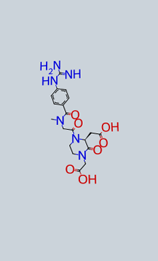 CN(CC(=O)N1CCN(CC(=O)O)C(=O)[C@@H]1CC(=O)O)C(=O)c1ccc(NC(=N)N)cc1